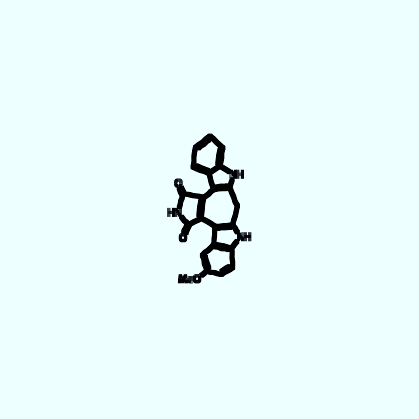 COc1ccc2[nH]c3c(c2c1)C1=C(C(=O)NC1=O)c1c([nH]c2ccccc12)C3